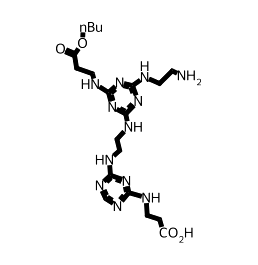 CCCCOC(=O)CCNc1nc(NCCN)nc(NCCNc2ncnc(NCCC(=O)O)n2)n1